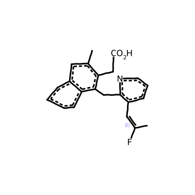 C/C(F)=C\c1cccnc1Cc1c(CC(=O)O)c(C)cc2ccccc12